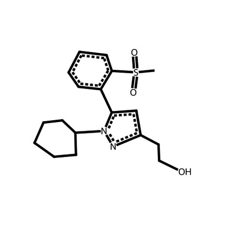 CS(=O)(=O)c1ccccc1-c1cc(CCO)nn1C1CCCCC1